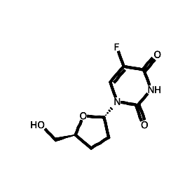 O=c1[nH]c(=O)n([C@@H]2CC[C@@H](CO)O2)cc1F